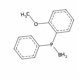 BP(c1ccccc1)c1ccccc1OC